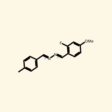 COc1ccc(/C=N/N=C/c2ccc(C)cc2)c(F)c1